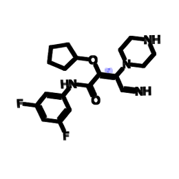 N=C/C(=C(/OC1CCCC1)C(=O)Nc1cc(F)cc(F)c1)N1CCNCC1